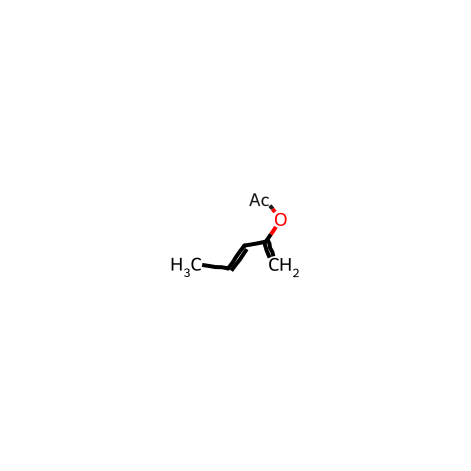 C=C(C=CC)OC(C)=O